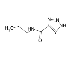 CCCNC(=O)c1[c][nH]nn1